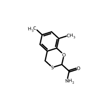 Cc1cc(C)c2c(c1)CSC(C(N)=O)O2